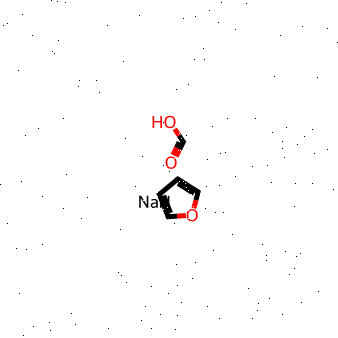 O=CO.[NaH].c1ccoc1